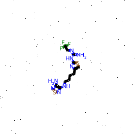 N/C(=N/CC(F)(F)F)Nc1nc(CCCCNc2nsnc2N)cs1